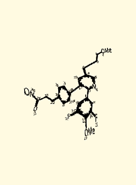 COCCCc1cnc(-c2cc(F)c(OC)c(F)c2)c(-c2ccc(CCC(=O)N=O)cc2)c1